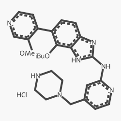 COc1cnccc1-c1ccc2nc(Nc3cc(CN4CCNCC4)ccn3)[nH]c2c1OCC(C)C.Cl